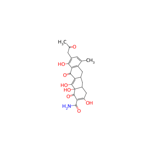 CC(=O)Cc1cc(C)c2c(c1O)C(=O)C1=C(O)C3(O)C(=O)C(C(N)=O)=C(O)CC3CC1C2